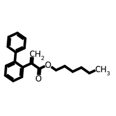 C=C(C(=O)OCCCCCC)c1ccccc1-c1ccccc1